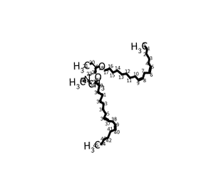 CCCCC/C=C\C/C=C\CCCCCCCCO[C@H](CC)[C@@H](CN(C)C)OCCCCCCCC/C=C\C/C=C\CCCCC